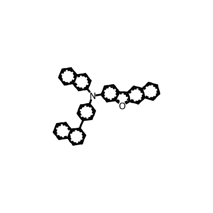 c1ccc2cc(N(c3ccc(-c4cccc5ccccc45)cc3)c3ccc4c(c3)oc3cc5ccccc5cc34)ccc2c1